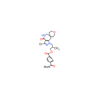 CCc1nn(CC(C)COC(=O)c2ccc(C(=O)NC)cc2)c2c1C(=O)NCC1(CCOCC1)C2